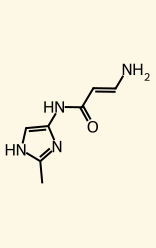 Cc1nc(NC(=O)C=CN)c[nH]1